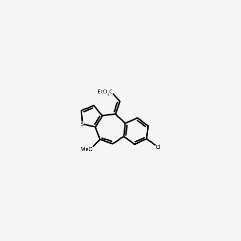 CCOC(=O)/C=C1/c2ccc(Cl)cc2C=C(OC)c2sccc21